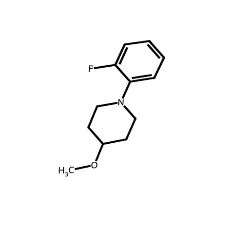 CO[C]1CCN(c2ccccc2F)CC1